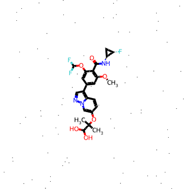 COc1cc(-c2cnn3cc(OC(C)(C)C(O)O)ccc23)cc(OC(F)F)c1C(=O)N[C@@H]1C[C@@H]1F